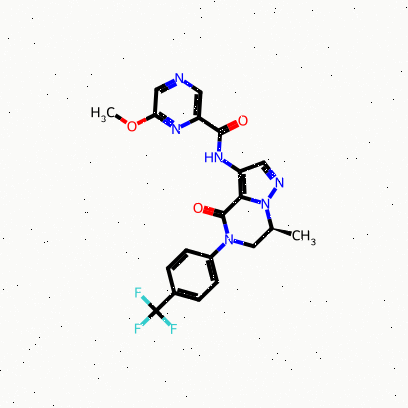 COc1cncc(C(=O)Nc2cnn3c2C(=O)N(c2ccc(C(F)(F)F)cc2)C[C@@H]3C)n1